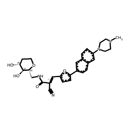 CN1CCN(c2ccc3cc(-c4ccc(/C=C(\C#N)C(=O)NC[C@H]5OCC[C@@H](O)[C@@H]5O)o4)ccc3c2)CC1